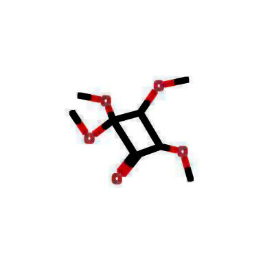 COC1C(=O)C(OC)(OC)C1OC